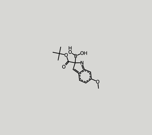 COc1ccc2c(c1)=NC(B(O)O)(C(=O)OC(C)(C)C)C=2